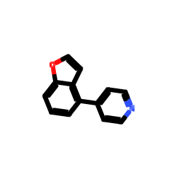 [c]1ccc2occc2c1-c1ccncc1